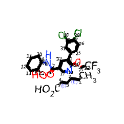 C/C=C/C=C/C(=O)O.O=C(N[C@@H]1CCCC[C@H]1O)c1cnc(OCC(F)(F)F)c(-c2ccc(Cl)c(Cl)c2)c1